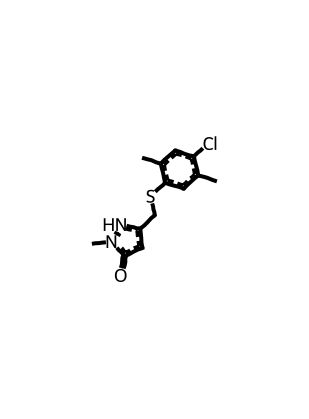 Cc1cc(SCc2cc(=O)n(C)[nH]2)c(C)cc1Cl